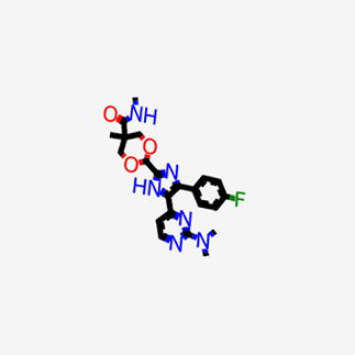 CNC(=O)C1(C)COC(c2nc(-c3ccc(F)cc3)c(-c3ccnc(N(C)C)n3)[nH]2)OC1